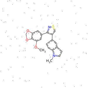 COc1cc(-c2nscc2-c2ccc3c(ccn3C)c2)cc2c1OCO2